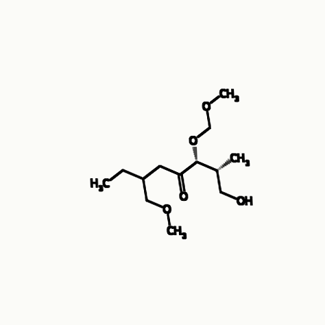 CCC(COC)CC(=O)[C@H](OCOC)[C@H](C)CO